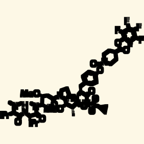 CC[C@H](C)C([C@@H](CC(=O)N1CCC[C@H]1[C@H](OC)[C@@H](C)C(=O)N[C@@H](Cc1ccc(OC(=O)N2CCC(C(=O)Oc3c(F)c(F)c(F)c(F)c3F)CC2)cc1)C(=O)NS(=O)(=O)C1CC1)OC)N(C)C(=O)[C@@H](NC(=O)C(C(C)C)N(C)C)C(C)C